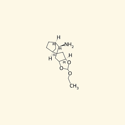 CCOC1OC2CC3(C[C@H]2O1)[C@H]1CC[C@H](C1)[C@H]3N